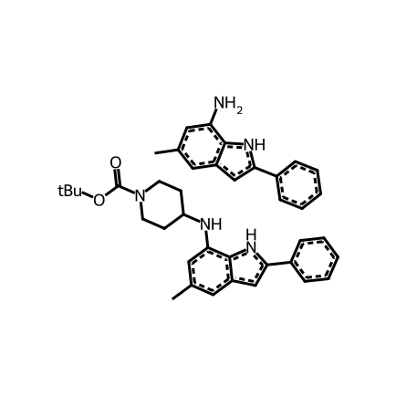 Cc1cc(N)c2[nH]c(-c3ccccc3)cc2c1.Cc1cc(NC2CCN(C(=O)OC(C)(C)C)CC2)c2[nH]c(-c3ccccc3)cc2c1